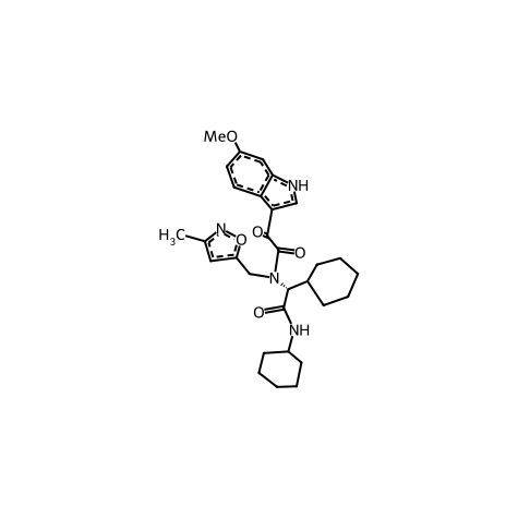 COc1ccc2c(C(=O)C(=O)N(Cc3cc(C)no3)[C@@H](C(=O)NC3CCCCC3)C3CCCCC3)c[nH]c2c1